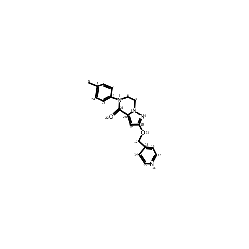 Cc1ccc(N2CCn3nc(OCc4ccncc4)cc3C2=O)cc1